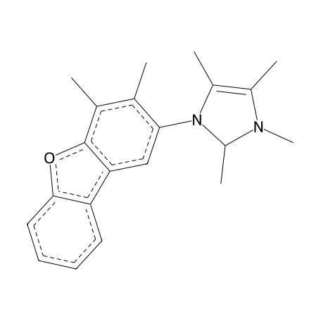 CC1=C(C)N(c2cc3c(oc4ccccc43)c(C)c2C)C(C)N1C